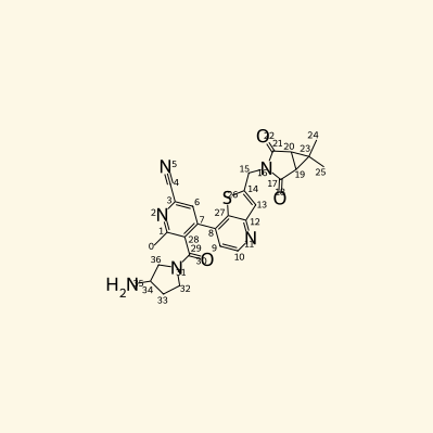 Cc1nc(C#N)cc(-c2ccnc3cc(CN4C(=O)C5C(C4=O)C5(C)C)sc23)c1C(=O)N1CCC(N)C1